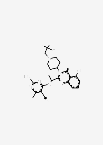 Cc1nc(N)nc(NC(C)c2nc3cccc(Cl)c3c(=O)n2C2CCN(CC(F)(F)F)CC2)c1C#N